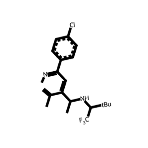 C=C(C)/C(=C\C(=N/C)c1ccc(Cl)cc1)C(C)NC(C(C)(C)C)C(F)(F)F